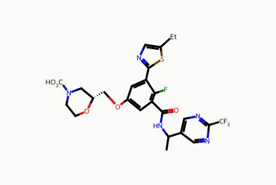 CCc1cnc(-c2cc(OC[C@H]3CN(C(=O)O)CCO3)cc(C(=O)NC(C)c3cnc(C(F)(F)F)nc3)c2F)s1